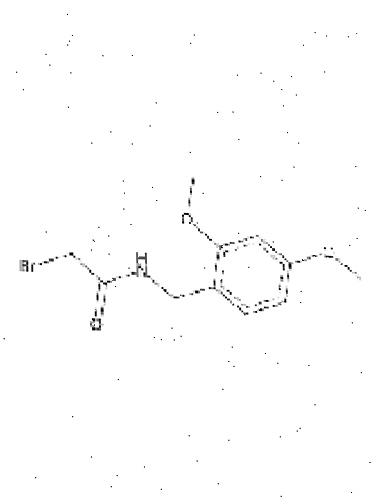 COc1ccc(CNC(=O)CBr)c(OC)c1